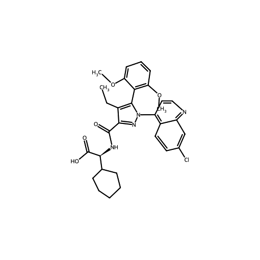 CCc1c(C(=O)N[C@H](C(=O)O)C2CCCCC2)nn(-c2ccnc3cc(Cl)ccc23)c1-c1c(OC)cccc1OC